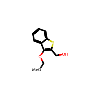 COCOc1c(CO)sc2ccccc12